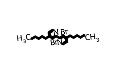 CCCCCCc1ccnc(-c2nccc(CCCCCC)c2Br)c1Br